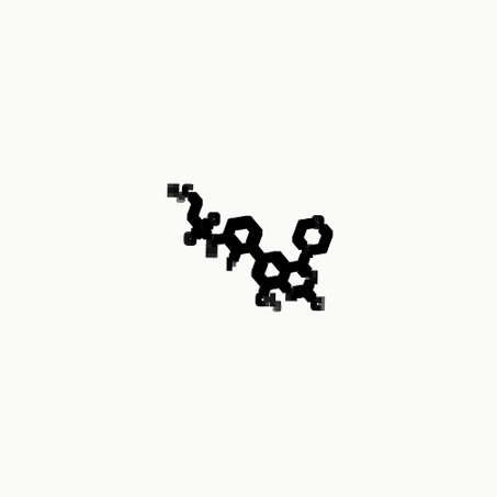 CCCS(=O)(=O)Nc1cccc(-c2cc(C)c3nc(Cl)nc(N4CCOCC4)c3c2)c1F